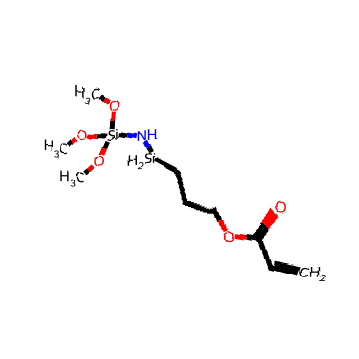 C=CC(=O)OCCC[SiH2]N[Si](OC)(OC)OC